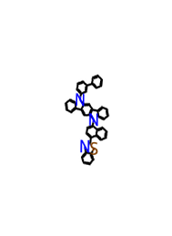 c1ccc(-c2cccc(-n3c4ccccc4c4cc5c(cc43)c3ccccc3n5-c3ccc(-c4nc5ccccc5s4)c4ccccc34)c2)cc1